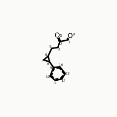 O=CC(=O)CCC1CC1c1ccccc1